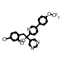 OC(Cc1ccc(Cl)cc1Cl)(c1cncnc1)c1ccc(-c2ccc(OC(F)(F)F)cc2)cn1